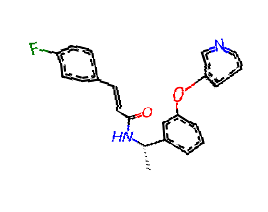 C[C@H](NC(=O)C=Cc1ccc(F)cc1)c1cccc(Oc2cccnc2)c1